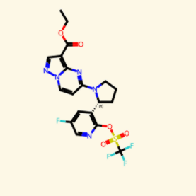 CCOC(=O)c1cnn2ccc(N3CCC[C@@H]3c3cc(F)cnc3OS(=O)(=O)C(F)(F)F)nc12